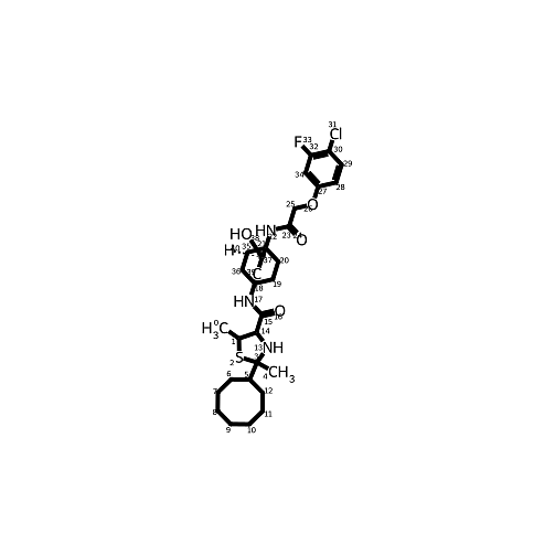 CC1SC(C)(C2CCCCCCC2)NC1C(=O)NC12CCC(NC(=O)COc3ccc(Cl)c(F)c3)(CC1)[C@H](O)C2